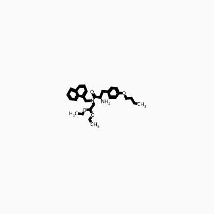 CCCCOc1ccc(C[C@H](N)C(=O)N(Cc2cccc3ccccc23)CC(OCC)OCC)cc1